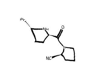 CC(C)[C@H]1CC[C@H](C(=O)N2CCC[C@H]2C#N)N1